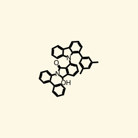 Cc1cc(C)cc(-c2cccc3c4ccccc4n(-c4cccc5c4C(=O)N(c4ccccc4-c4ccccc4)C5O)c23)c1